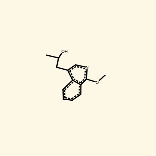 COc1ncc(CC(C)O)c2ccccc12